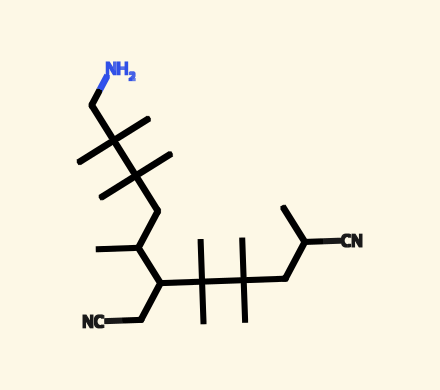 CC(C#N)CC(C)(C)C(C)(C)C(CC#N)C(C)CC(C)(C)C(C)(C)CN